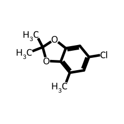 Cc1cc(Cl)cc2c1OC(C)(C)O2